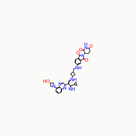 N=C(/C(=C\NC1CC(CNc2ccc3c(c2)C(=O)N(C2CCC(=O)NC2=O)C3=O)C1)c1cnc2c(N3CC(O)C3)cccc2n1)C1CC1